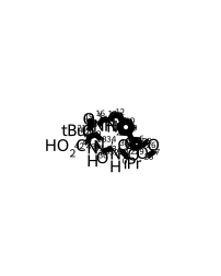 CC(C)C(OC(=O)C1(/C=C/c2ccc3ccc([C@@H](C)NC(=O)OC(C)(C)C)nc3c2)COCCO1)C(=O)N[C@@H](C)C(=O)N1CCC[C@@H](C(=O)O)N1